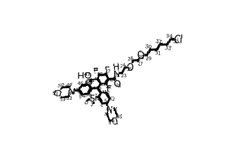 C[Si]1(C)C2=CC(=[N+]3CCOCC3)C=CC2=C(c2c(F)c(C(=O)NCCOCCOCCCCCCCl)c(F)c(F)c2C(=O)O)c2ccc(N3CCOCC3)cc21